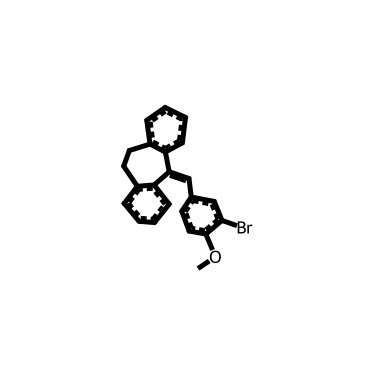 COc1ccc(C=C2c3ccccc3CCc3ccccc32)cc1Br